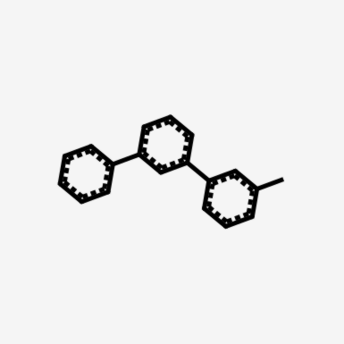 Cc1cccc(-c2cccc(-c3ccccc3)c2)c1